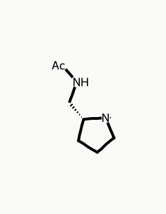 CC(=O)NC[C@H]1CCC[N]1